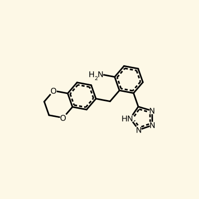 Nc1cccc(-c2nnn[nH]2)c1Cc1ccc2c(c1)OCCO2